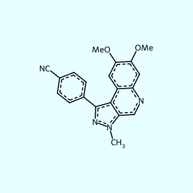 COc1cc2ncc3c(c(-c4ccc(C#N)cc4)nn3C)c2cc1OC